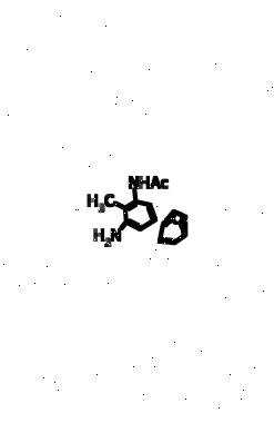 CC(=O)Nc1cccc(N)c1C.c1cc2ccc1o2